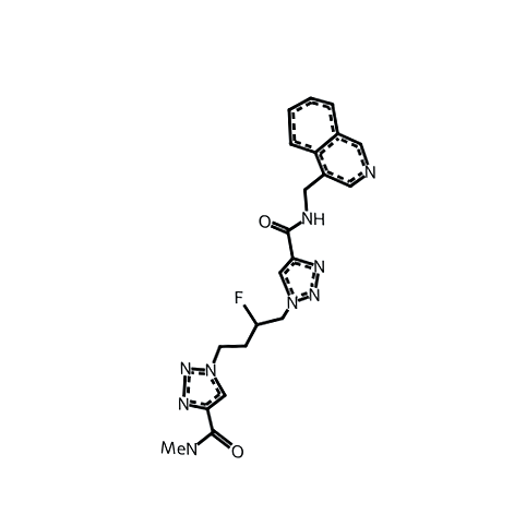 CNC(=O)c1cn(CCC(F)Cn2cc(C(=O)NCc3cncc4ccccc34)nn2)nn1